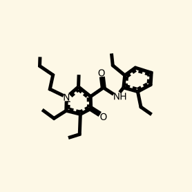 CCCCn1c(C)c(C(=O)Nc2c(CC)cccc2CC)c(=O)c(CC)c1CC